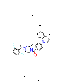 CC(c1c(F)cccc1F)N1CCN(C(=O)c2ccc(N3C=CCc4ccccc43)cc2)[C@H](C)C1